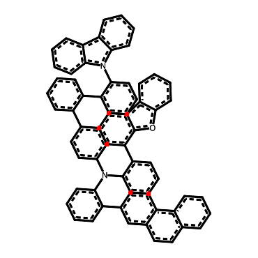 c1ccc(-c2ccccc2-n2c3ccccc3c3ccccc32)c(-c2ccc(N(c3ccccc3-c3ccc4c(ccc5ccccc54)c3)c3ccccc3-c3cccc4c3oc3ccccc34)cc2)c1